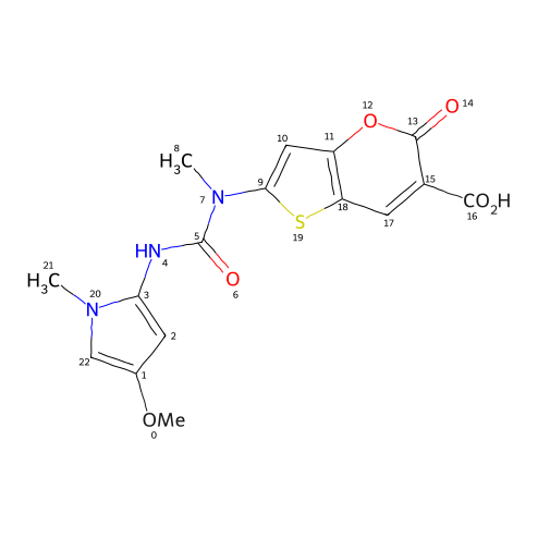 COc1cc(NC(=O)N(C)c2cc3oc(=O)c(C(=O)O)cc3s2)n(C)c1